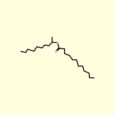 CCCCCCCCCCCC(=O)OC(C)CCCCCCCC